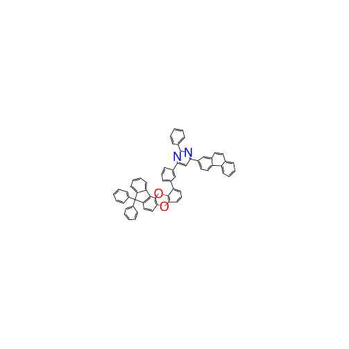 c1ccc(-c2nc(-c3cccc(-c4cccc5c4Oc4c(ccc6c4-c4ccccc4C6(c4ccccc4)c4ccccc4)O5)c3)cc(-c3ccc4c(ccc5ccccc54)c3)n2)cc1